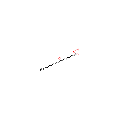 CCCCCCCCCC(O)CCCC=CC=CC(=O)OO